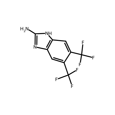 Nc1nc2cc(C(F)(F)F)c(C(F)(F)F)cc2[nH]1